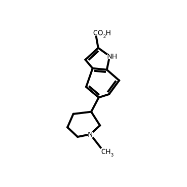 CN1CCCC(c2ccc3[nH]c(C(=O)O)cc3c2)C1